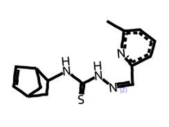 Cc1cccc(/C=N\NC(=S)NC2CC3C=CC2C3)n1